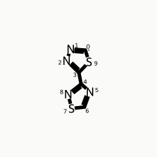 [c]1nnc(-c2ncsn2)s1